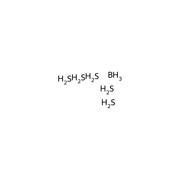 B.S.S.S.S.S